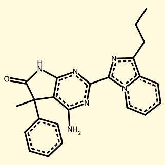 CCCc1nc(-c2nc(N)c3c(n2)NC(=O)C3(C)c2ccccc2)n2ccccc12